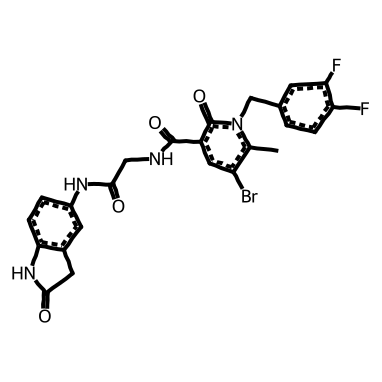 Cc1c(Br)cc(C(=O)NCC(=O)Nc2ccc3c(c2)CC(=O)N3)c(=O)n1Cc1ccc(F)c(F)c1